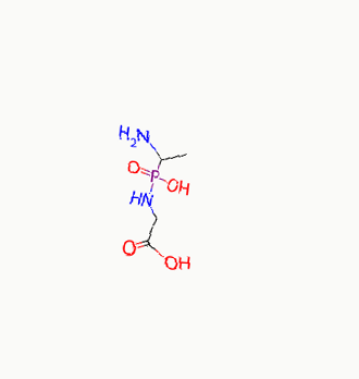 CC(N)P(=O)(O)NCC(=O)O